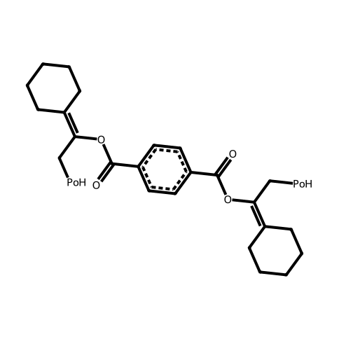 O=C(OC([CH2][PoH])=C1CCCCC1)c1ccc(C(=O)OC([CH2][PoH])=C2CCCCC2)cc1